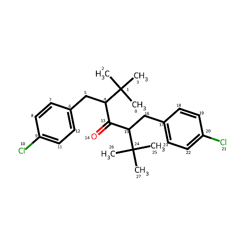 CC(C)(C)C(Cc1ccc(Cl)cc1)C(=O)C(Cc1ccc(Cl)cc1)C(C)(C)C